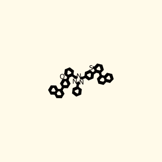 c1ccc(-c2nc(-c3ccc4c(c3)sc3cccc(-c5cccc6ccccc56)c34)nc(-c3cccc4oc5cc(-c6cccc7ccccc67)ccc5c34)n2)cc1